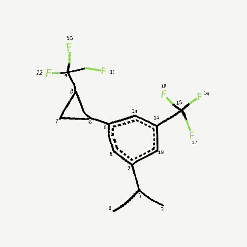 CC(C)c1cc(C2CC2C(F)(F)F)cc(C(F)(F)F)c1